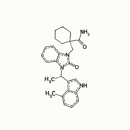 Cc1cccc2[nH]cc(C(C)n3c(=O)n(CC4(C(N)=O)CCCCC4)c4ccccc43)c12